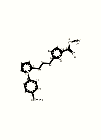 CCCCCCc1ccc(-n2cccc2CCCc2ccc(C(=O)OC(C)C)s2)cc1